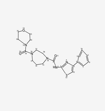 O=C(Nc1nc(-c2ccccc2)cs1)N1CCCN(C(=O)N2CCOCC2)CC1